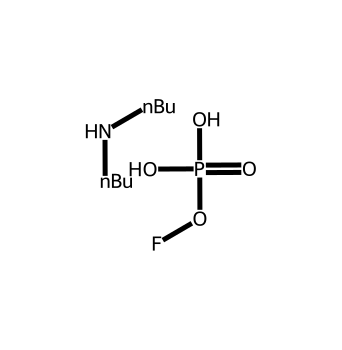 CCCCNCCCC.O=P(O)(O)OF